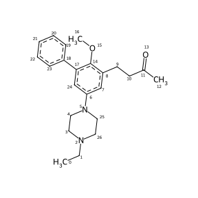 CCN1CCN(c2cc(CCC(C)=O)c(OC)c(-c3ccccc3)c2)CC1